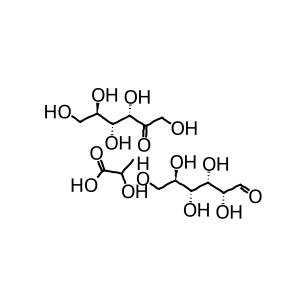 CC(O)C(=O)O.O=C(CO)[C@@H](O)[C@H](O)[C@H](O)CO.O=C[C@H](O)[C@@H](O)[C@H](O)[C@H](O)CO